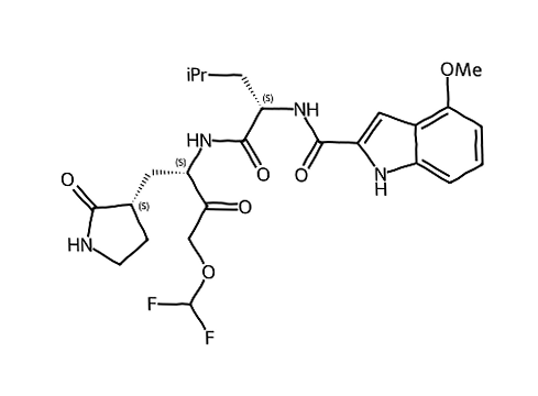 COc1cccc2[nH]c(C(=O)N[C@@H](CC(C)C)C(=O)N[C@@H](C[C@@H]3CCNC3=O)C(=O)COC(F)F)cc12